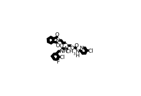 CN(C(=O)NCc1cccc(F)c1Cl)[C@H](CCCN1C(=O)c2ccccc2C1=O)COC(=O)Nc1ccc(Cl)cn1